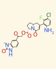 Cn1c(=O)[nH]c2ccc(C(=O)COC(=O)[C@@H]3CCC4CC(c5c(N)ccc(Cl)c5F)=CC(=O)N43)cc21